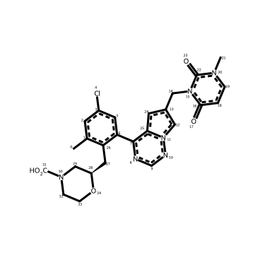 Cc1cc(Cl)cc(-c2ncnn3cc(Cn4c(=O)ccn(C)c4=O)cc23)c1C[C@@H]1CN(C(=O)O)CCO1